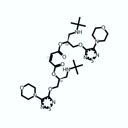 CC(C)(C)NC[C@@H](COc1nsnc1N1CCOCC1)OC(=O)/C=C\C(=O)O[C@@H](CNC(C)(C)C)COc1nsnc1N1CCOCC1